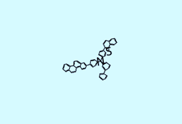 c1ccc(-c2cccc(N(c3ccc(-c4ccc5c(ccc6c7ccccc7ccc56)c4)cc3)c3ccc4c(c3)sc3c5ccccc5ccc43)c2)cc1